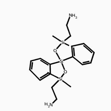 C[Si](C)(CCN)O[Si](O[Si](C)(C)CCN)(c1ccccc1)c1ccccc1